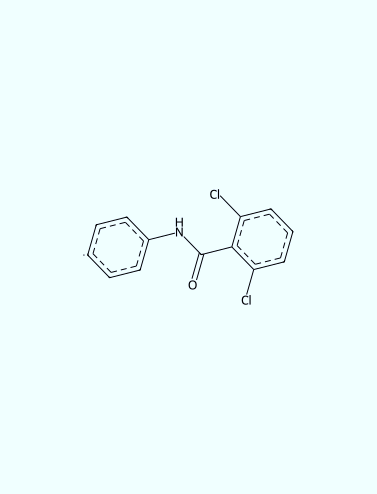 O=C(Nc1cc[c]cc1)c1c(Cl)cccc1Cl